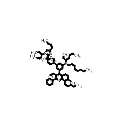 C=C/C=C\c1cn(C(/C=C\C)=C/C)c(C(C)(C)/C=C\C(=C/C)c2cc(-c3c(/C=C\C)c(-c4ccccc4)nc4c(/C=C\CC=C)c(CC)ccc34)cc(P(C/C=C\C=C/CC=C)/C(C=C)=C/C=C\C)c2)n1